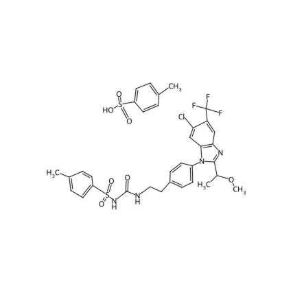 COC(C)c1nc2cc(C(F)(F)F)c(Cl)cc2n1-c1ccc(CCNC(=O)NS(=O)(=O)c2ccc(C)cc2)cc1.Cc1ccc(S(=O)(=O)O)cc1